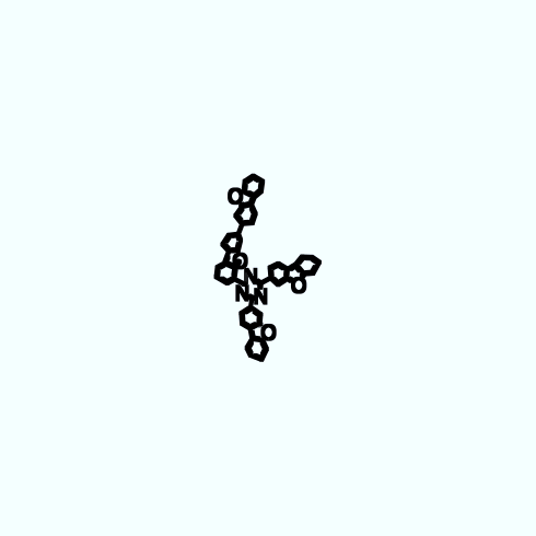 c1ccc2c(c1)oc1cc(-c3ccc4c(c3)oc3c(-c5nc(-c6ccc7c(c6)oc6ccccc67)nc(-c6ccc7c(c6)oc6ccccc67)n5)cccc34)ccc12